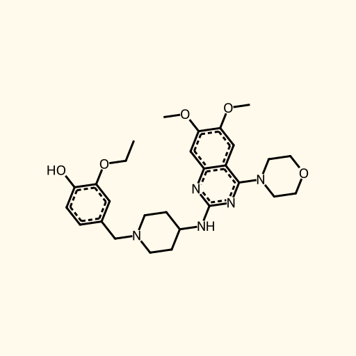 CCOc1cc(CN2CCC(Nc3nc(N4CCOCC4)c4cc(OC)c(OC)cc4n3)CC2)ccc1O